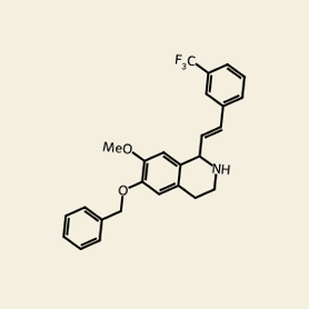 COc1cc2c(cc1OCc1ccccc1)CCNC2/C=C/c1cccc(C(F)(F)F)c1